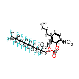 CC(C)CCCc1ccc([N+](=O)[O-])c(OC(=O)OCC(F)(F)C(F)(F)C(F)(F)C(F)(F)C(F)(F)C(F)(F)C(F)(F)C(F)F)c1[N+](=O)[O-]